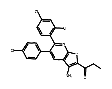 CCC(=O)c1oc2nc(-c3ccc(Cl)cc3Cl)c(-c3ccc(Cl)cc3)cc2c1N